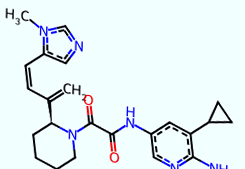 C=C(/C=C\c1cncn1C)[C@@H]1CCCCN1C(=O)C(=O)Nc1cnc(N)c(C2CC2)c1